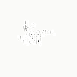 Cc1ccc(NC(=O)Nc2cc(-c3ccccc3-c3nnn[nH]3)ccc2N(CC(C)C)CC(C)C)cn1